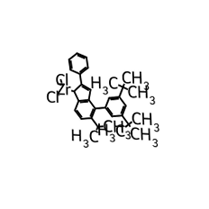 CC(C)c1ccc2c(c1-c1cc(C(C)(C)C)cc(C(C)(C)C)c1)C=C(c1ccccc1)[CH]2[Zr]([Cl])[Cl]